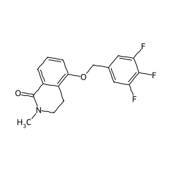 CN1CCc2c(OCc3cc(F)c(F)c(F)c3)cccc2C1=O